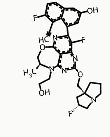 C#Cc1c(F)ccc2cc(O)cc(-c3nc4c5c(nc(OC[C@@]67CCCN6C[C@H](F)C7)nc5c3F)N(CCO)[C@@H](C)CO4)c12